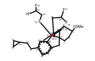 COC1CCC2(CC1)Cc1ccc(CCC3CC3)cc1C21N=C(SCC(F)F)N(CC(F)F)C1=O